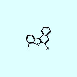 Brc1cc2ccccc2c2c1sc1c(I)cccc12